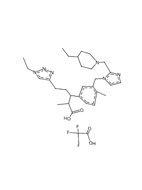 CCC1CCN(Cc2nccn2Cc2cc(C(CCc3cn(CC)nn3)C(C)C(=O)O)ccc2C)CC1.O=C(O)C(F)(F)F